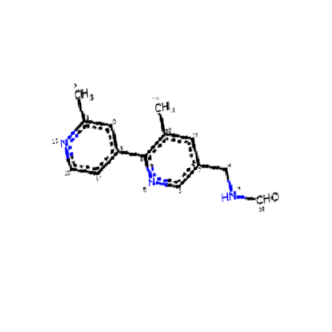 Cc1cc(-c2ncc(CNC=O)cc2C)ccn1